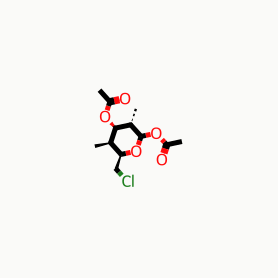 CC(=O)OC1O[C@@H](CCl)[C@@H](C)[C@@H](OC(C)=O)[C@@H]1C